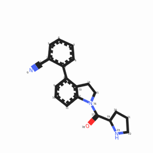 N#Cc1ccccc1-c1cccc2c1CCN2C(=O)C1CCCN1